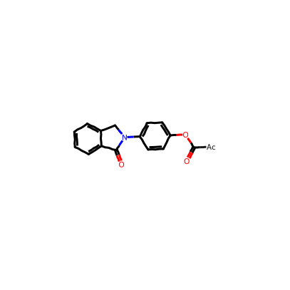 CC(=O)C(=O)Oc1ccc(N2Cc3ccccc3C2=O)cc1